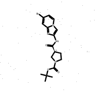 CC(C)(C)OC(=O)N1CC[C@H](C(=O)Nc2cn3ccc(Br)cc3n2)C1